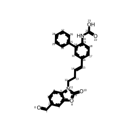 O=Cc1ccc2c(c1)oc(=O)n2CCC=Cc1ccc(NC(=O)O)c(-c2ccccc2)c1